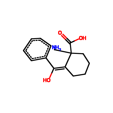 NCC1(C(=O)O)CCCCC1=C(O)c1ccccc1